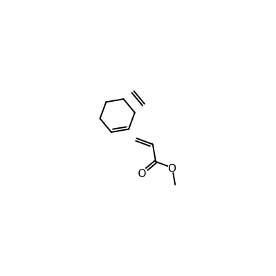 C1=CCCCC1.C=C.C=CC(=O)OC